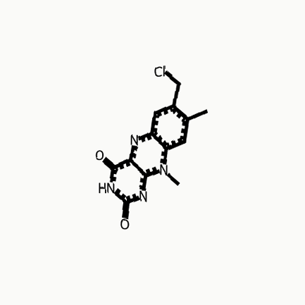 Cc1cc2c(cc1CCl)nc1c(=O)[nH]c(=O)nc-1n2C